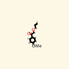 C=CCOCC(=O)c1ccc(OC)cc1